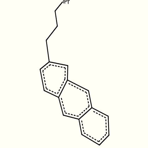 [CH2]C(C)CCCc1ccc2cc3ccccc3cc2c1